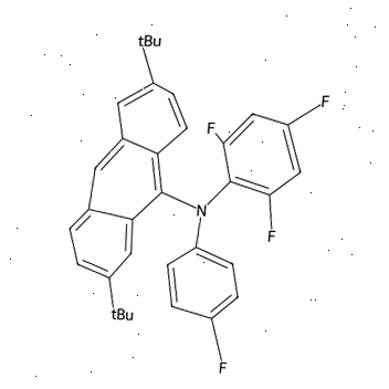 CC(C)(C)c1ccc2c(N(c3ccc(F)cc3)c3c(F)cc(F)cc3F)c3cc(C(C)(C)C)ccc3cc2c1